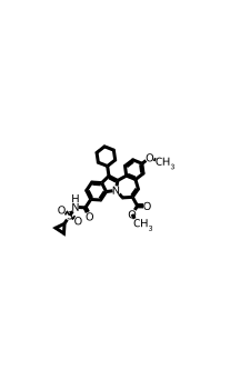 COC(=O)C1=Cc2cc(OC)ccc2-c2c(C3CCCCC3)c3ccc(C(=O)NS(=O)(=O)C4CC4)cc3n2C1